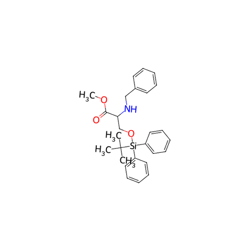 COC(=O)C(CO[Si](c1ccccc1)(c1ccccc1)C(C)(C)C)NCc1ccccc1